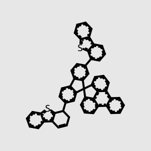 C1=Cc2c(sc3ccccc23)C(c2ccc3c(c2)C2(c4cc(-c5cccc6c5sc5ccccc56)ccc4-3)c3cccc4c5ccccc5c5cccc2c5c34)C1